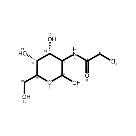 O=C(CCl)NC1C(O)OC(CO)[C@H](O)[C@@H]1O